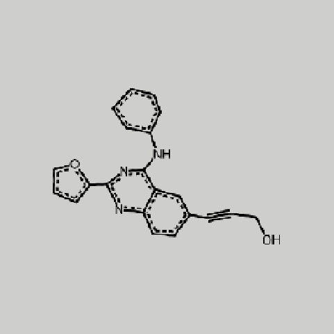 OCC#Cc1ccc2nc(-c3ccco3)nc(Nc3ccccc3)c2c1